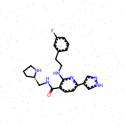 O=C(NC[C@H]1CCCN1)c1ccc(-c2cn[nH]c2)nc1NCCc1cccc(F)c1